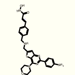 Nc1ccc(-c2nc(N3CCOCC3)c3sc(CNCc4ccc(/C=C/C(=O)NO)cc4)cc3n2)cc1